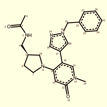 CC(=O)NC[C@@H]1CCN(c2cc(=O)n(C)cc2-c2cnn(Cc3ccccc3)c2)C1